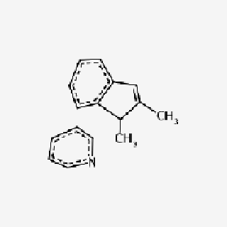 CC1=Cc2ccccc2C1C.c1ccncc1